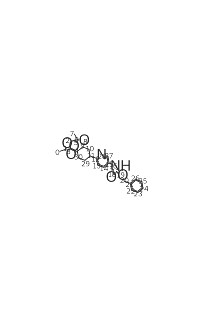 CC(=O)OC1(OC(C)=O)CCC(c2ccc(NC(=O)OCc3ccccc3)cn2)CC1